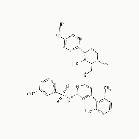 Cc1cccc(C)c1-c1cc(OCC2C(C(C)C)CCC(c3ncc(OC(C)C)cn3)N2C)nc(NS(=O)(=O)c2cccc(C=O)c2)n1